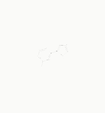 Clc1nccc(-c2ccc[nH]2)n1